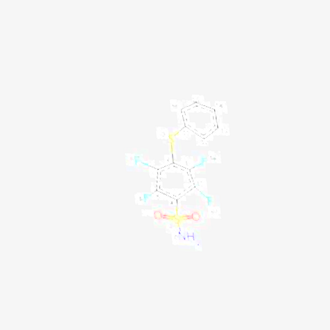 NS(=O)(=O)c1c(F)c(F)c(Sc2ccccc2)c(F)c1F